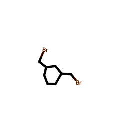 BrCC1CCCC(CBr)C1